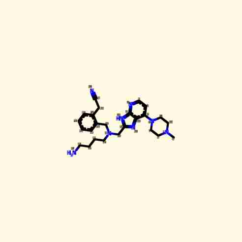 CN1CCN(c2ccnc3[nH]c(CN(CCCCN)Cc4ccccc4CC#N)nc23)CC1